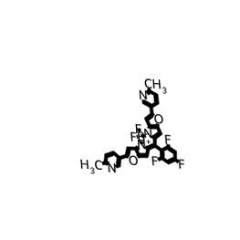 Cc1ccc(-c2cc3c(o2)=CC2=C(c4c(F)cc(F)cc4F)c4cc5oc(-c6ccc(C)nc6)cc5n4[B-](F)(F)[N+]=32)cn1